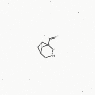 O=CC12CCC(CNC1)O2